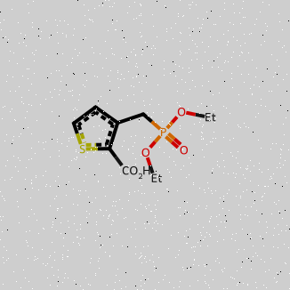 CCOP(=O)(Cc1ccsc1C(=O)O)OCC